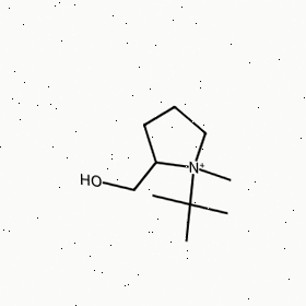 CC(C)(C)[N+]1(C)CCCC1CO